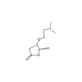 CC(C)CCOC1CC(=O)OC1=O